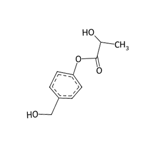 CC(O)C(=O)Oc1ccc(CO)cc1